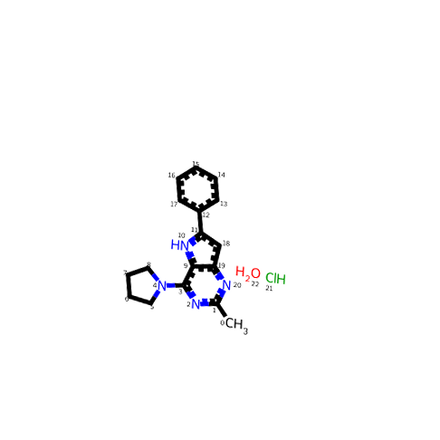 Cc1nc(N2CCCC2)c2[nH]c(-c3ccccc3)cc2n1.Cl.O